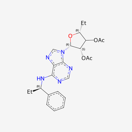 CC[C@@H](Nc1ncnc2c1ncn2[C@@H]1O[C@H](CC)C(OC(C)=O)[C@@H]1OC(C)=O)c1ccccc1